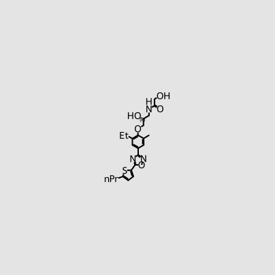 CCCc1ccc(-c2nc(-c3cc(C)c(OC[C@H](O)CNC(=O)CO)c(CC)c3)no2)s1